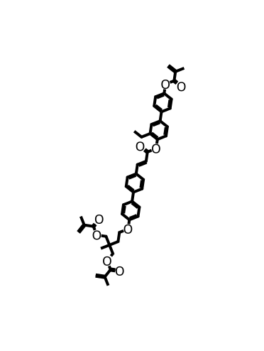 C=C(C)C(=O)OCC(C)(CCOc1ccc(-c2ccc(/C=C/C(=O)Oc3ccc(-c4ccc(OC(=O)C(=C)C)cc4)cc3CC)cc2)cc1)COC(=O)C(=C)C